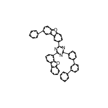 c1ccc(-c2cccc(-c3cccc(-c4nc(-c5ccc6oc7ccc(-c8ccccc8)cc7c6c5)nc(-c5cccc6c5oc5ccccc56)n4)c3)c2)cc1